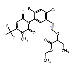 CCOC(=O)C(CC)O/N=C/c1cc(-n2c(=O)cc(C(F)(F)F)n(C)c2=O)c(F)cc1Cl